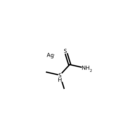 C[SH](C)C(N)=S.[Ag]